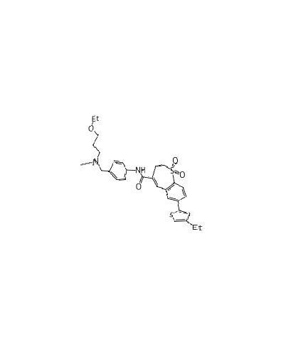 CCOCCCN(C)Cc1ccc(NC(=O)C2=Cc3cc(-c4cc(CC)cs4)ccc3S(=O)(=O)CC2)cc1